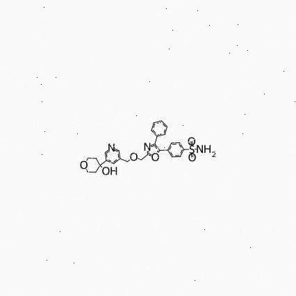 NS(=O)(=O)c1ccc(-c2oc(COCc3cncc(C4(O)CCOCC4)c3)nc2-c2ccccc2)cc1